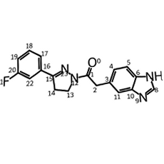 O=C(Cc1ccc2[nH]cnc2c1)N1CCC(c2cccc(F)c2)=N1